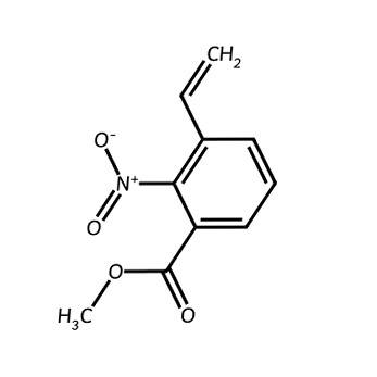 C=Cc1cccc(C(=O)OC)c1[N+](=O)[O-]